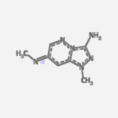 C/N=c1\cnn2c(N)nn(C)c2c1